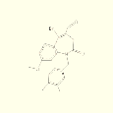 COc1ccc2c(c1)N(Cc1ccc(C)c(C)c1)C(=O)CC(C=O)=C2Br